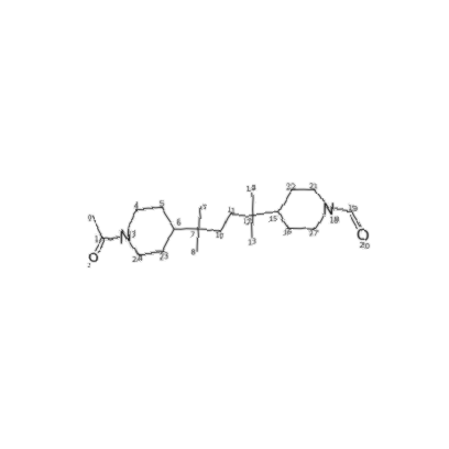 CC(=O)N1CCC(C(C)(C)CCC(C)(C)C2CCN(C=O)CC2)CC1